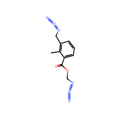 Cc1c(CN=[N+]=[N-])cccc1C(=O)OCN=[N+]=[N-]